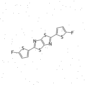 Fc1ccc(-c2nc3sc(-c4ccc(F)s4)nc3s2)s1